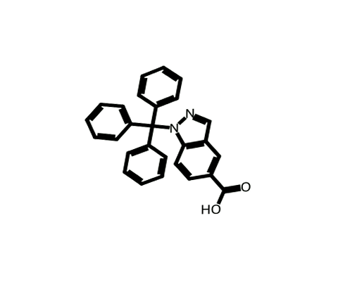 O=C(O)c1ccc2c(cnn2C(c2ccccc2)(c2ccccc2)c2ccccc2)c1